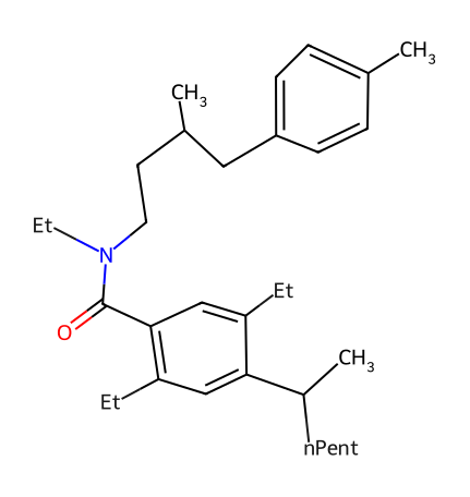 CCCCCC(C)c1cc(CC)c(C(=O)N(CC)CCC(C)Cc2ccc(C)cc2)cc1CC